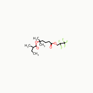 CCC(C)C(=O)OC(C)(C)CCCC(=O)OCC(F)(F)C(F)(F)F